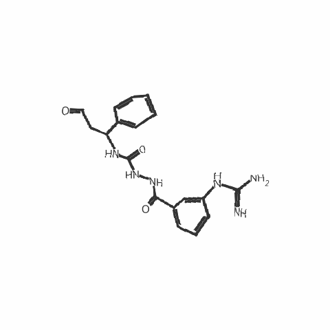 N=C(N)Nc1cccc(C(=O)NNC(=O)NC(CC=O)c2ccccc2)c1